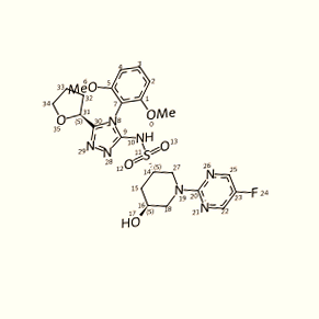 COc1cccc(OC)c1-n1c(NS(=O)(=O)[C@H]2C[C@H](O)CN(c3ncc(F)cn3)C2)nnc1[C@@H]1CCCO1